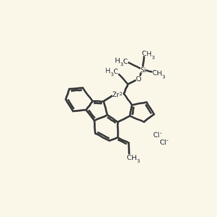 CC=c1ccc2c(c1C1=C(CC(C)O[Si](C)(C)C)C=CC1)[C]([Zr+2])=c1ccccc1=2.[Cl-].[Cl-]